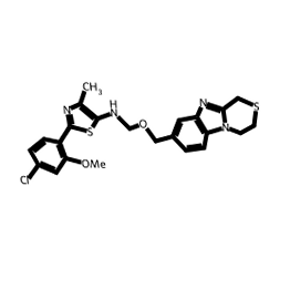 COc1cc(Cl)ccc1-c1nc(C)c(NCOCc2ccc3c(c2)nc2n3CCSC2)s1